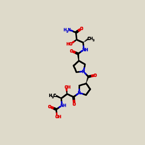 C[C@H](NC(=O)[C@@H]1CCN(C(=O)[C@@H]2CCN(C(=O)[C@H](O)[C@H](C)NC(=O)O)C2)C1)[C@@H](O)C(N)=O